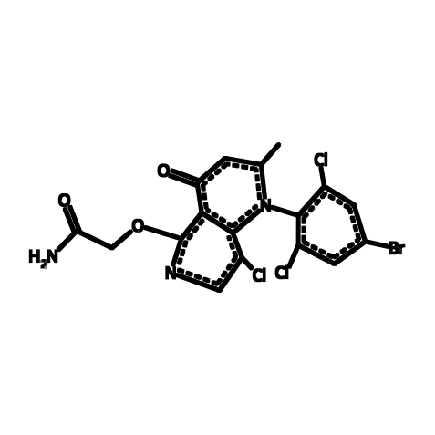 Cc1cc(=O)c2c(OCC(N)=O)ncc(Cl)c2n1-c1c(Cl)cc(Br)cc1Cl